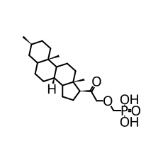 C[C@H]1CC[C@@]2(C)C(CC[C@@H]3C2CC[C@@]2(C)C3CC[C@@H]2C(=O)COCP(=O)(O)O)C1